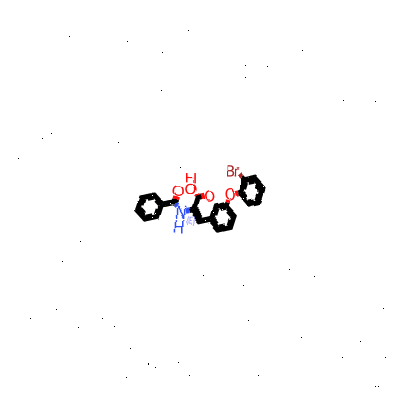 O=C(O)/C(=C\c1cccc(Oc2ccccc2Br)c1)NC(=O)c1ccccc1